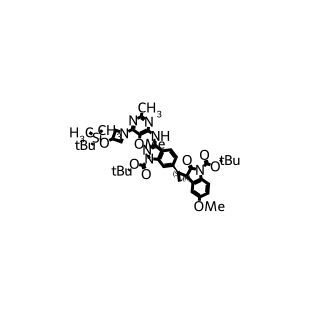 COc1ccc2c(c1)[C@]1(C[C@H]1c1ccc3c(Nc4nc(C)nc(N5CC(O[Si](C)(C)C(C)(C)C)C5)c4OC)nn(C(=O)OC(C)(C)C)c3c1)C(=O)N2C(=O)OC(C)(C)C